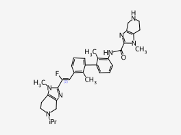 Cc1c(/C=C(\F)c2nc3c(n2C)CCN(C(C)C)C3)cccc1-c1cccc(NC(=O)c2nc3c(n2C)CCNC3)c1C